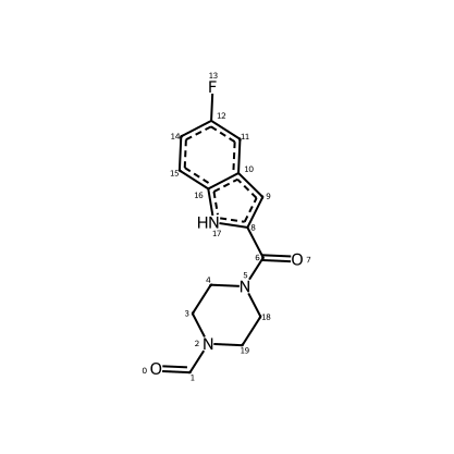 O=CN1CCN(C(=O)c2cc3cc(F)ccc3[nH]2)CC1